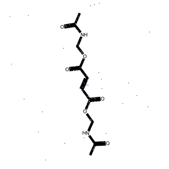 CC(=O)NCOC(=O)/C=C/C(=O)OCNC(C)=O